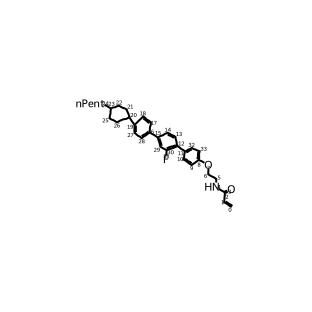 C=CC(=O)NCCOc1ccc(-c2ccc(-c3ccc(C4CCC(CCCCC)CC4)cc3)cc2F)cc1